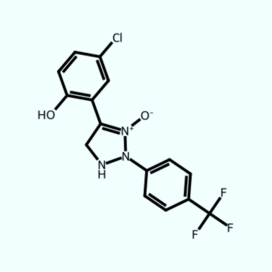 [O-][N+]1=C(c2cc(Cl)ccc2O)CNN1c1ccc(C(F)(F)F)cc1